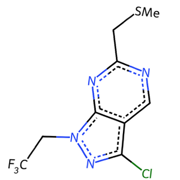 CSCc1ncc2c(Cl)nn(CC(F)(F)F)c2n1